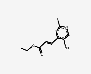 CCOC(=O)/C=C/c1nc(I)ncc1N